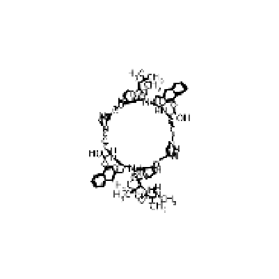 CN[C@@H](C)C(=O)N[C@H](C(=O)N1CC[C@H]2OCc3cn(nn3)CCC[C@H](C(=O)O)NC(=O)[C@H](Cc3ccc4ccccc4c3)NC(=O)[C@@H]3[C@@H](CCN3C(=O)CC(C)(C)C)OCc3cn(nn3)CCC[C@H](C(=O)O)NC(=O)[C@H](Cc3ccc4ccccc4c3)NC(=O)[C@H]21)C(C)(C)C